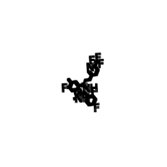 CNC(=O)[C@@H](N[C@H](CCc1ccc(C(F)(F)F)nc1)c1ccc(F)c(C)c1)c1ccc(F)cc1F